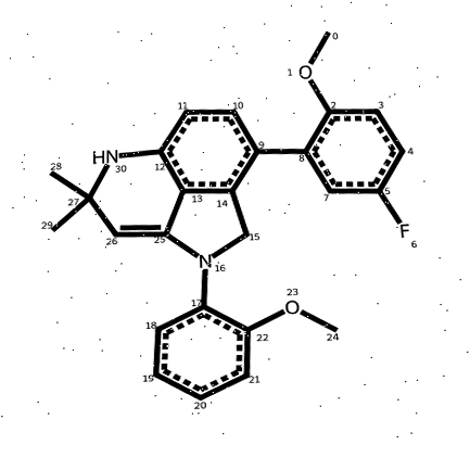 COc1ccc(F)cc1-c1ccc2c3c1CN(c1ccccc1OC)C3=CC(C)(C)N2